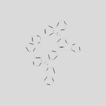 c1ccc(-c2cccc(N(c3ccc(-c4cc(-n5c6ccccc6c6ccc(-c7ccccc7)cc65)cc5c4sc4ccccc45)cc3)c3ccc4ccccc4c3)c2)cc1